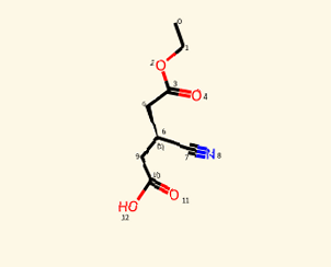 CCOC(=O)C[C@@H](C#N)CC(=O)O